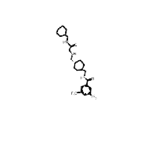 O=C(CNC[C@H]1CC[C@H](CNC(=O)c2cc(C(F)(F)F)cc(C(F)(F)F)c2)CC1)NCC1CCCCC1